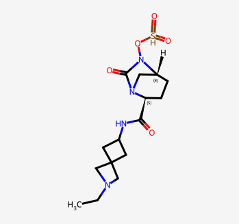 CCN1CC2(CC(NC(=O)[C@@H]3CC[C@@H]4CN3C(=O)N4O[SH](=O)=O)C2)C1